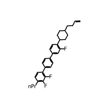 C=CCCC1CCC(c2ccc(-c3ccc(-c4ccc(CCC)c(F)c4F)cc3)cc2F)CC1